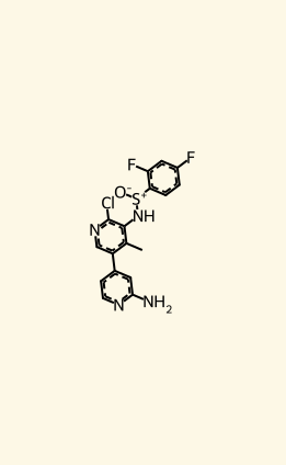 Cc1c(-c2ccnc(N)c2)cnc(Cl)c1N[S+]([O-])c1ccc(F)cc1F